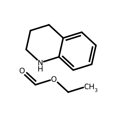 CCOC=O.c1ccc2c(c1)CCCN2